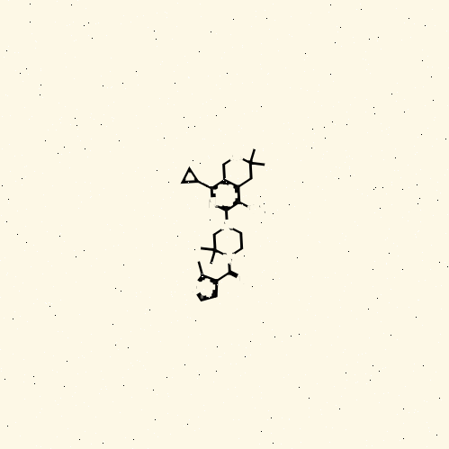 Cc1occc1C(=O)N1CCN(c2nc(C3CC3)c3c(c2C#N)CC(C)(C)OC3)CC1(C)C